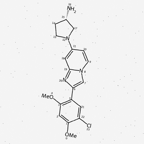 COc1cc(OC)c(-c2cn3ccc(N4CC[C@H](N)C4)cc3n2)cc1Cl